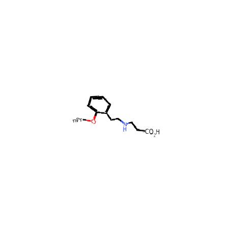 CCCOc1ccccc1CCNCCC(=O)O